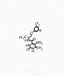 C=C1NC(=O)NC(C(=O)N[C@H](C)COc2cc(F)cc(C(F)(F)F)c2)=C1N